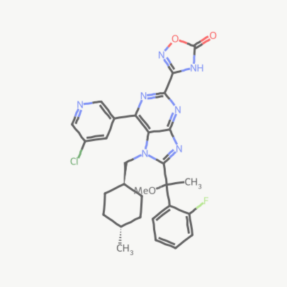 COC(C)(c1ccccc1F)c1nc2nc(-c3noc(=O)[nH]3)nc(-c3cncc(Cl)c3)c2n1C[C@H]1CC[C@H](C)CC1